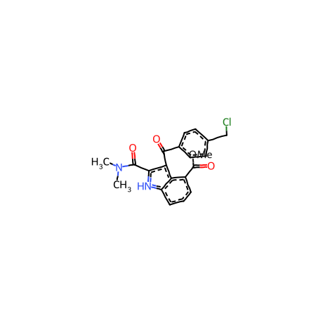 COC(=O)c1cccc2[nH]c(C(=O)N(C)C)c(C(=O)c3ccc(CCl)cc3)c12